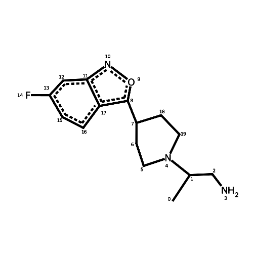 CC(CN)N1CCC(c2onc3cc(F)ccc23)CC1